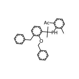 CC(=O)c1cccc(C)c1PC(C)(C)c1cccc(Cc2ccccc2)c1OCc1ccccc1